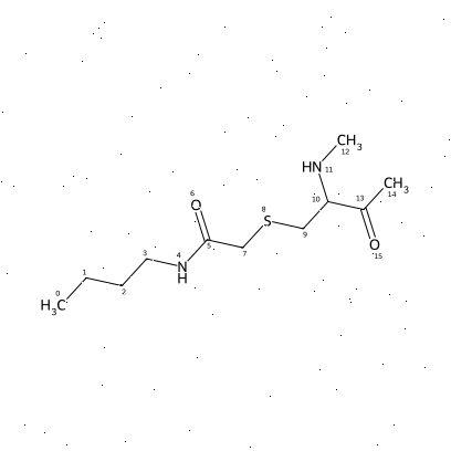 CCCCNC(=O)CSCC(NC)C(C)=O